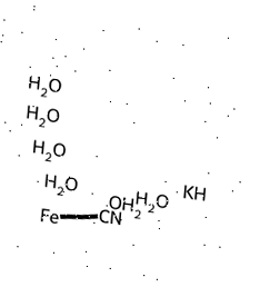 N#[C][Fe].O.O.O.O.O.O.[KH]